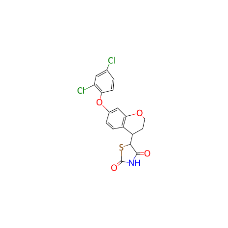 O=C1NC(=O)C(C2CCOc3cc(Oc4ccc(Cl)cc4Cl)ccc32)S1